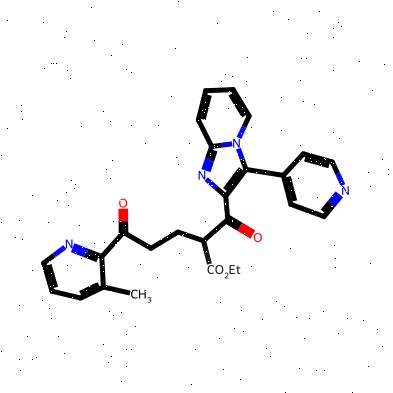 CCOC(=O)C(CCC(=O)c1ncccc1C)C(=O)c1nc2ccccn2c1-c1ccncc1